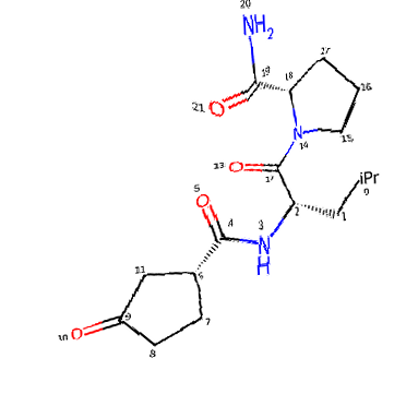 CC(C)C[C@H](NC(=O)[C@@H]1CCC(=O)C1)C(=O)N1CCC[C@H]1C(N)=O